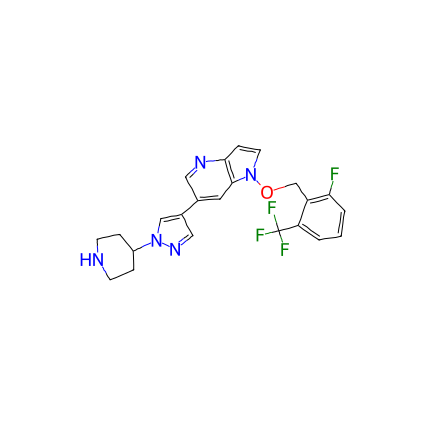 Fc1cccc(C(F)(F)F)c1COn1ccc2ncc(-c3cnn(C4CCNCC4)c3)cc21